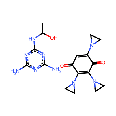 CC(O)Nc1nc(N)nc(N)n1.O=C1C=C(N2CC2)C(=O)C(N2CC2)=C1N1CC1